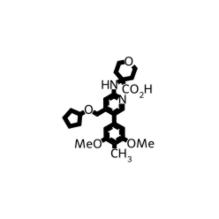 COc1cc(-c2cnc(NC3(C(=O)O)CCOCC3)cc2COC2CCCC2)cc(OC)c1C